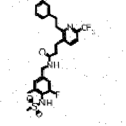 Cc1cc(CNC(=O)C=Cc2ccc(C(F)(F)F)nc2CCc2ccccc2)cc(F)c1NS(C)(=O)=O